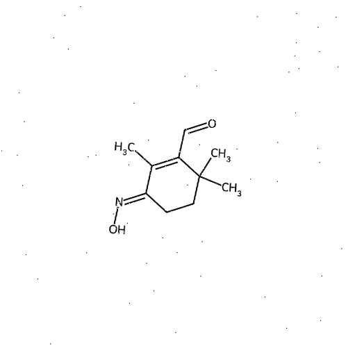 CC1=C(C=O)C(C)(C)CCC1=NO